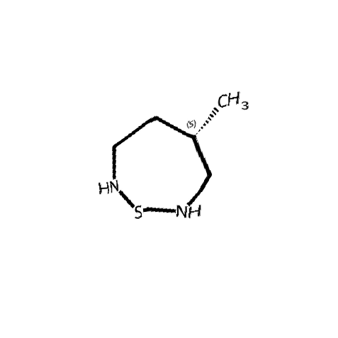 C[C@H]1CCNSNC1